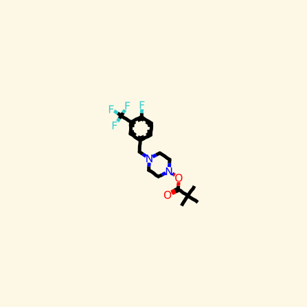 CC(C)(C)C(=O)ON1CCN(Cc2ccc(F)c(C(F)(F)F)c2)CC1